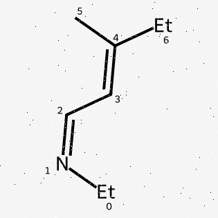 CC/N=C\C=C(/C)CC